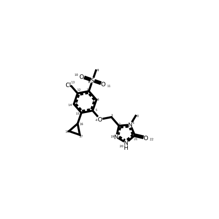 Cn1c(COc2cc(S(C)(=O)=O)c(Cl)cc2C2CC2)n[nH]c1=O